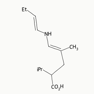 CC/C=C/N/C=C(\C)CC(C(=O)O)C(C)C